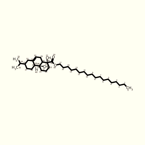 CCCCCCCCCCCCCCCCCCOC(=O)[C@]1(C)CCC[C@@]2(C)C1CC=C1CC(C(C)C)CC[C@@H]12